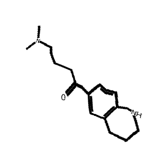 CN(C)CCCC(=O)c1ccc2c(c1)CCCN2